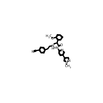 COc1ccccc1C(CNCCc1ccc(C#N)cc1)C(=O)Nc1ccc(-c2cnn(C)c2)cn1